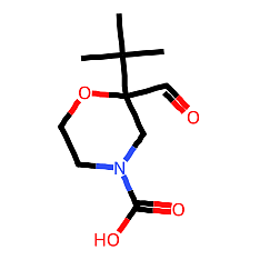 CC(C)(C)C1(C=O)CN(C(=O)O)CCO1